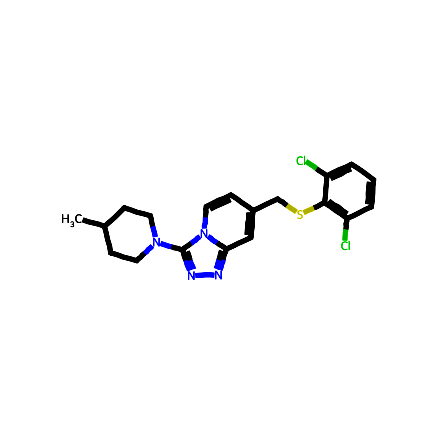 CC1CCN(c2nnc3cc(CSc4c(Cl)cccc4Cl)ccn23)CC1